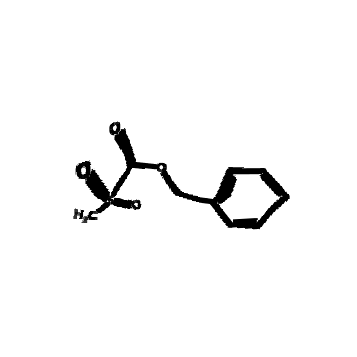 CS(=O)(=O)C(=O)OCc1ccccc1